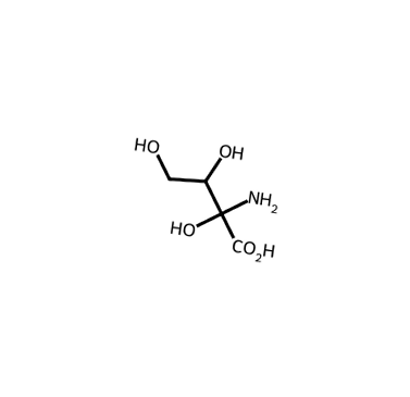 NC(O)(C(=O)O)C(O)CO